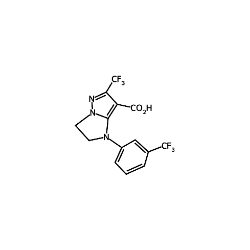 O=C(O)c1c(C(F)(F)F)nn2c1N(c1cccc(C(F)(F)F)c1)CC2